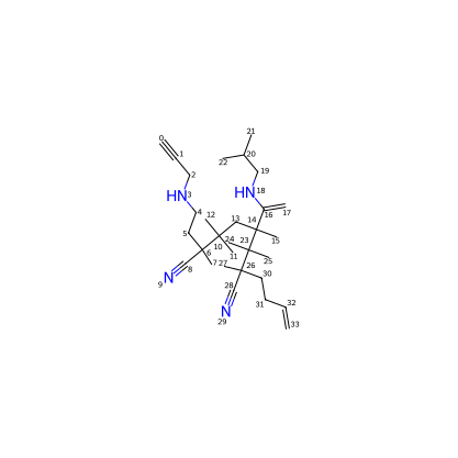 C#CCNCCC(C)(C#N)C(C)(C)CC(C)(C(=C)NCC(C)C)C(C)(C)C(C)(C#N)CCC=C